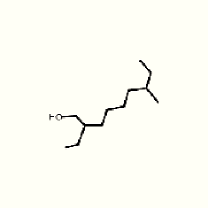 CCC(C)CCCCC(CC)CO